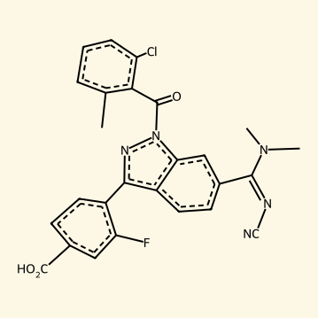 Cc1cccc(Cl)c1C(=O)n1nc(-c2ccc(C(=O)O)cc2F)c2ccc(/C(=N\C#N)N(C)C)cc21